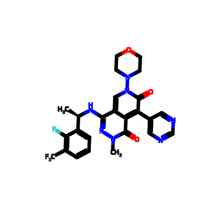 C[C@@H](Nc1nn(C)c(=O)c2c(-c3cncnc3)c(=O)n(N3CCOCC3)cc12)c1cccc(C(F)(F)F)c1F